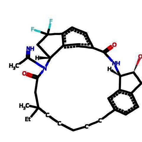 CCC1(C)CCCCCc2ccc3c(c2)[C@@H](NC(=O)c2ccc4c(c2)[C@@H](CC4(F)F)N(C(C)=N)C(=O)C1)[C@H](O)C3